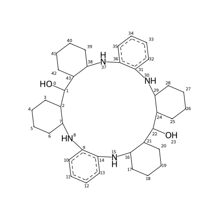 OC1C2CCCCC2Nc2ccccc2NC2CCCCC2C(O)C2CCCCC2Nc2ccccc2NC2CCCCC21